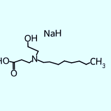 CCCCCCCCN(CCO)CCC(=O)O.[NaH]